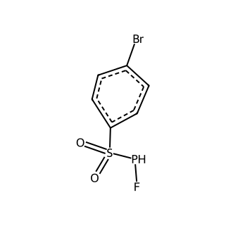 O=S(=O)(PF)c1ccc(Br)cc1